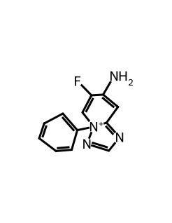 NC1=CC2=NC=N[N+]2(c2ccccc2)C=C1F